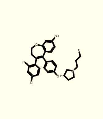 Oc1ccc2c(c1)OCCC(c1ccc(Cl)cc1Cl)=C2c1ccc(O[C@H]2CCN(CCCF)C2)cc1